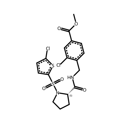 COC(=O)c1ccc(CNC(=O)[C@@H]2CCCN2S(=O)(=O)c2ccc(Cl)s2)c(Cl)c1